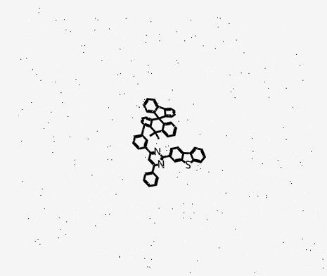 CC1(C)c2ccccc2C2(c3ccccc3-c3ccccc32)c2cccc(-c3cccc(-c4cc(-c5ccccc5)nc(-c5ccc6c(c5)sc5ccccc56)n4)c3)c21